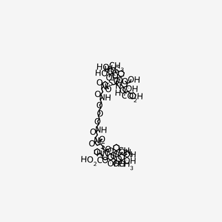 CC1CCC[C@@H](O[C@@H]2OC(CO)[C@H](O)C(O[C@@H](CC3CCCCC3)C(=O)O)C2NC(=O)CSC2CC(=O)N(CCC(=O)NCCOCCOCCOCCNC(=O)CCN3C(=O)CC(SCC(=O)NC4C(O[C@@H](CC5CCCCC5)C(=O)O)[C@@H](O)C(CO)O[C@H]4O[C@@H]4CCCC(C)C4O[C@@H]4OC(C)[C@@H](O)C(O)C4O)C3=O)C2=O)C1O[C@@H]1OC(C)[C@@H](O)C(O)C1O